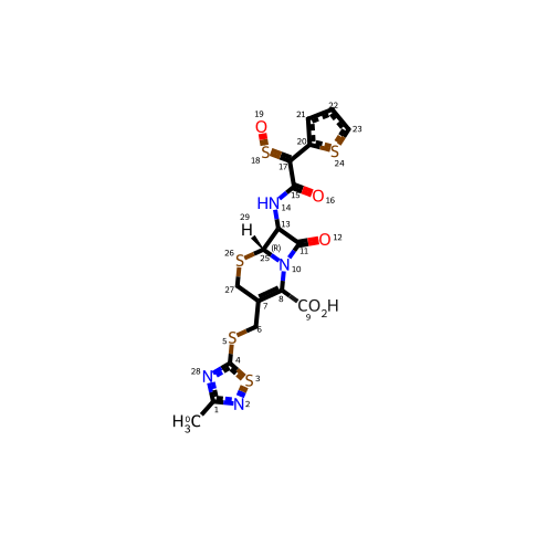 Cc1nsc(SCC2=C(C(=O)O)N3C(=O)C(NC(=O)C(=S=O)c4cccs4)[C@H]3SC2)n1